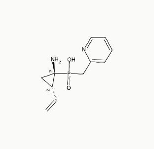 C=C[C@@H]1C[C@]1(N)P(=O)(O)Cc1ccccn1